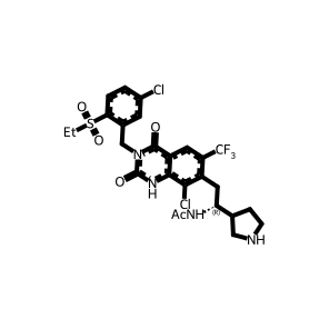 CCS(=O)(=O)c1ccc(Cl)cc1Cn1c(=O)[nH]c2c(Cl)c(C[C@@H](NC(C)=O)C3CCNC3)c(C(F)(F)F)cc2c1=O